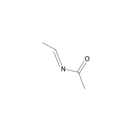 CC=NC(C)=O